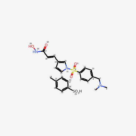 CN(C)Cc1ccc(S(=O)(=O)n2ccc(/C=C/C(=O)NO)c2)cc1.Cc1ccc(S(=O)(=O)O)cc1